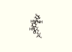 CN(C)CCCC1Cc2cc(NC(=N)c3cccs3)ccc2NC1=O